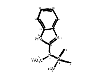 CCCC[Si](C)(C)N(C(=O)O)c1nc2ccccc2[nH]1